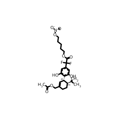 C=C(C)[C@H]1CCC(COC(C)=O)=C[C@@H]1c1c(O)cc(C(F)(F)C(=O)OCCCCCO[N+](=O)[O-])cc1O